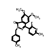 COc1cc2c(-c3ccc(C)nc3F)nn(Cc3ccc(C)cc3)c(=O)c2cc1OC